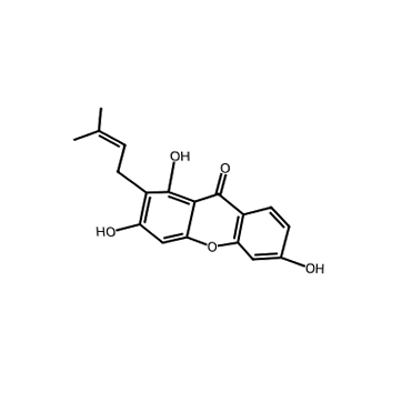 CC(C)=CCc1c(O)cc2oc3cc(O)ccc3c(=O)c2c1O